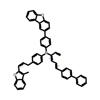 C=C/C(=C\C=C\c1ccc(-c2ccccc2)cc1)N(c1ccc(C/C=C\c2oc3ccccc3c2C)cc1)c1ccc(-c2ccc3oc4ccccc4c3c2)cc1